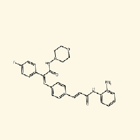 Nc1ccccc1NC(=O)C=Cc1ccc(C=C(C(=O)NN2CCOCC2)c2ccc(F)cc2)cc1